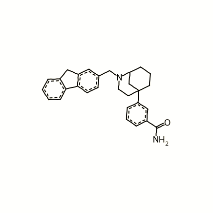 NC(=O)c1cccc(C23CCCC(C2)N(Cc2ccc4c(c2)Cc2ccccc2-4)CC3)c1